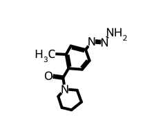 Cc1cc(N=NN)ccc1C(=O)N1CCCCC1